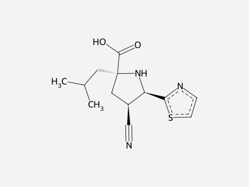 CC(C)C[C@@]1(C(=O)O)C[C@H](C#N)[C@H](c2nccs2)N1